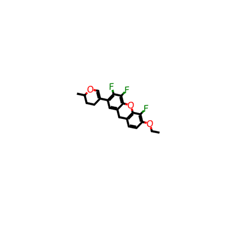 CCOc1ccc2c(c1F)Oc1c(cc(C3=COC(C)CC3)c(F)c1F)C2